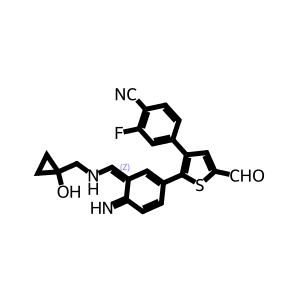 N#Cc1ccc(-c2cc(C=O)sc2C2=C/C(=C/NCC3(O)CC3)C(=N)C=C2)cc1F